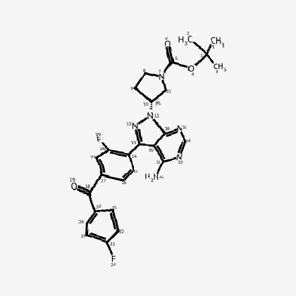 CC(C)(C)OC(=O)N1CC[C@@H](n2nc(-c3ccc(C(=O)c4ccc(F)cc4)cc3F)c3c(N)ncnc32)C1